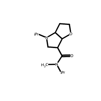 CC(C)N(C)C(=O)C1CN(C(C)C)C2CCOC12